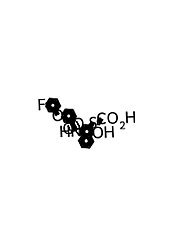 O=C(O)CSc1cc(NS(=O)(=O)c2cccc(Oc3cccc(F)c3)c2)c2ccccc2c1O